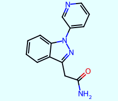 NC(=O)Cc1nn(-c2cccnc2)c2ccccc12